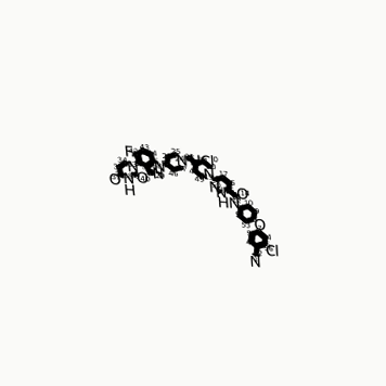 Cl.N#Cc1ccc(OC2CCC(NC(=O)c3ccc(N4CCC(CN5CCC(n6ncc7c(N8CCC(=O)NC8=O)c(F)ccc76)CC5)CC4)nn3)CC2)cc1Cl